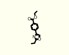 CCOC(=O)c1ccc(-c2coc(CC)n2)cc1